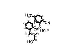 Cc1ccc(C#N)c(S[C@H](C[C@@H](N)CO)c2ccccc2)n1.Cl